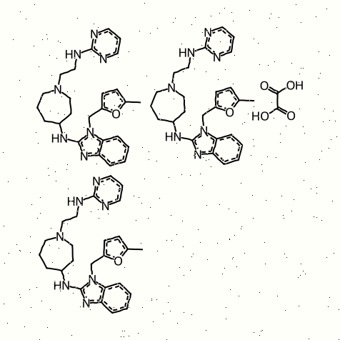 Cc1ccc(Cn2c(NC3CCCN(CCNc4ncccn4)CC3)nc3ccccc32)o1.Cc1ccc(Cn2c(NC3CCCN(CCNc4ncccn4)CC3)nc3ccccc32)o1.Cc1ccc(Cn2c(NC3CCCN(CCNc4ncccn4)CC3)nc3ccccc32)o1.O=C(O)C(=O)O